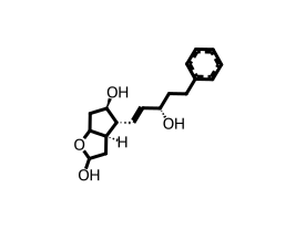 OC1C[C@H]2C(C[C@@H](O)[C@@H]2/C=C/[C@@H](O)CCc2ccccc2)O1